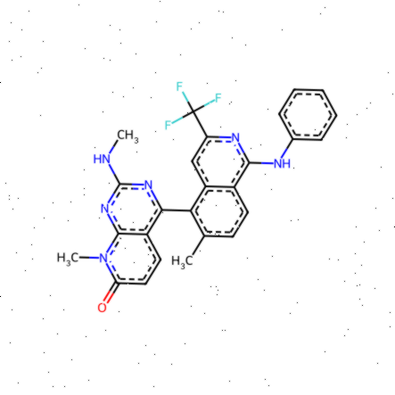 CNc1nc(-c2c(C)ccc3c(Nc4ccccc4)nc(C(F)(F)F)cc23)c2ccc(=O)n(C)c2n1